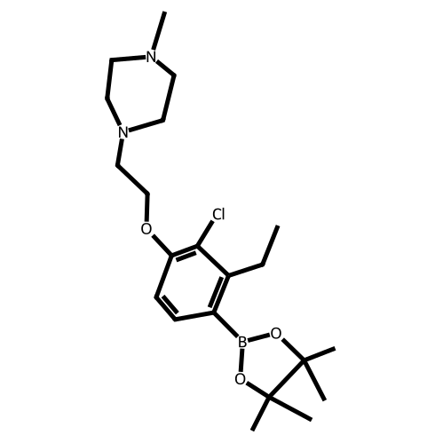 CCc1c(B2OC(C)(C)C(C)(C)O2)ccc(OCCN2CCN(C)CC2)c1Cl